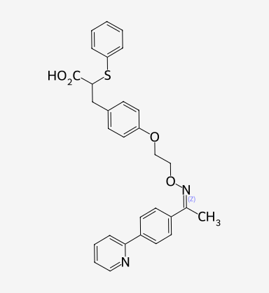 C/C(=N/OCCOc1ccc(CC(Sc2ccccc2)C(=O)O)cc1)c1ccc(-c2ccccn2)cc1